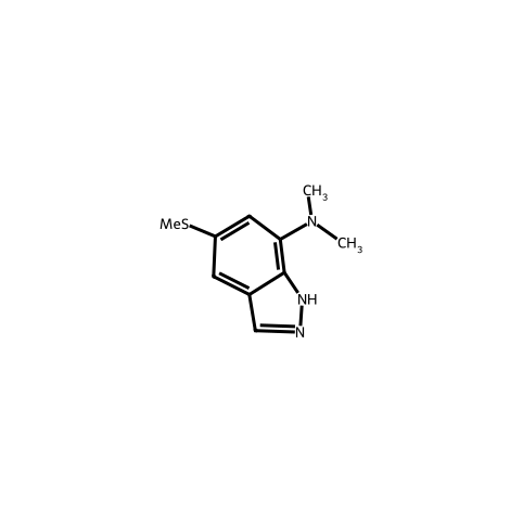 CSc1cc(N(C)C)c2[nH]ncc2c1